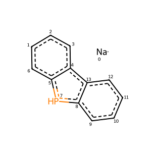 [Na].c1ccc2c(c1)[pH]c1ccccc12